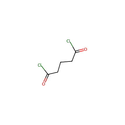 O=C(Cl)CCCC(=O)Cl